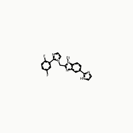 CCn1c(Cn2ccnc2-c2cc(F)ccc2F)nc2cc(-c3ncc[nH]3)ccc21